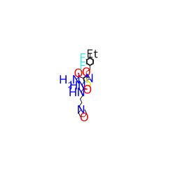 CCc1ccc(COc2nsc(NC(=O)NCCCCN3CCOCC3)c2C(N)=O)c(F)c1F